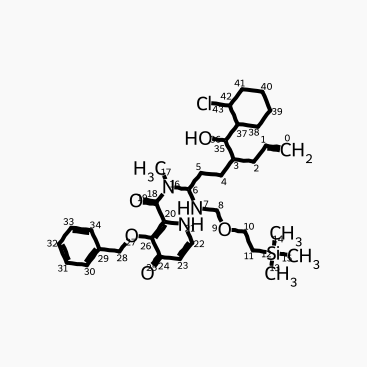 C=CCC(CCC(NCOCC[Si](C)(C)C)N(C)C(=O)c1[nH]ccc(=O)c1OCc1ccccc1)C(O)C1CCCCC1Cl